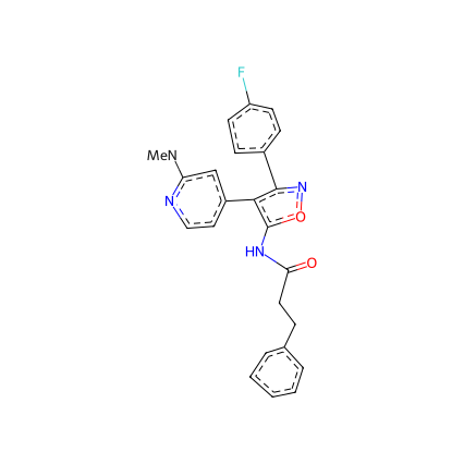 CNc1cc(-c2c(-c3ccc(F)cc3)noc2NC(=O)CCc2ccccc2)ccn1